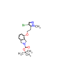 Cn1ncc(Br)c1CCOc1cccc2c1CN(C(=O)OC(C)(C)C)C2